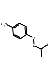 CC(I)OOc1ccc([N+](=O)[O-])cc1